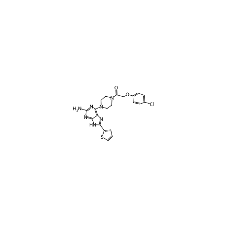 Nc1nc(N2CCN(C(=O)COc3ccc(Cl)cc3)CC2)c2nc(-c3cccs3)[nH]c2n1